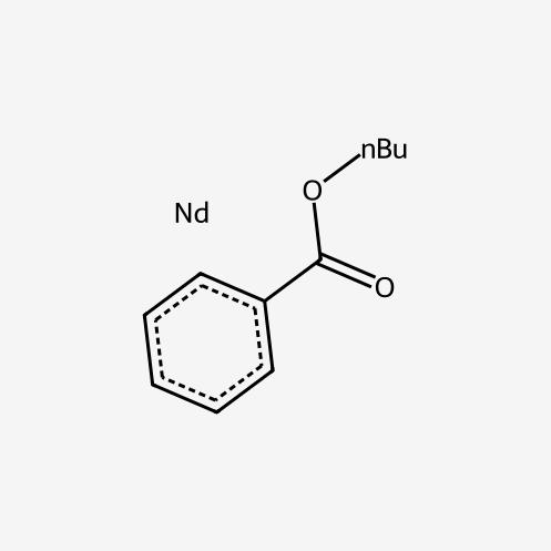 CCCCOC(=O)c1ccccc1.[Nd]